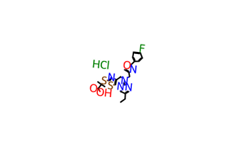 CCc1cnc(N(Cc2coc(-c3ccc(F)cc3)n2)Cc2csc(SC(C)(C)C(=O)O)n2)nc1.Cl